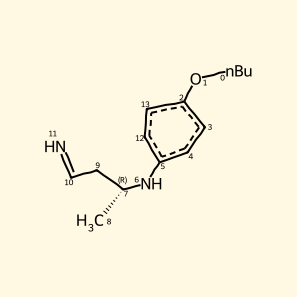 CCCCOc1ccc(N[C@H](C)CC=N)cc1